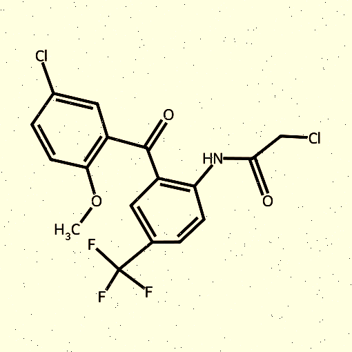 COc1ccc(Cl)cc1C(=O)c1cc(C(F)(F)F)ccc1NC(=O)CCl